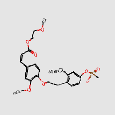 CCCCOc1cc(/C=C\C(=O)OCCOCC)ccc1OCCc1ccc(OS(C)(=O)=O)cc1OC